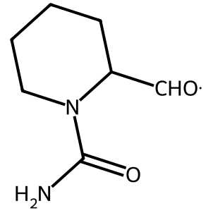 NC(=O)N1CCCCC1[C]=O